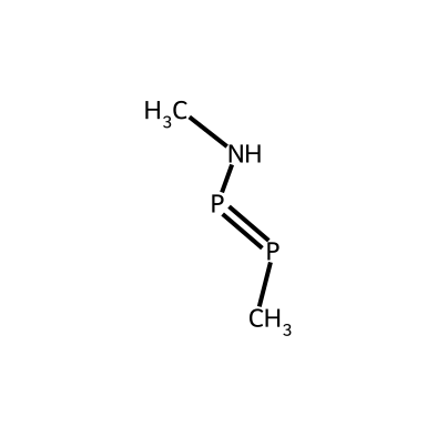 CNP=PC